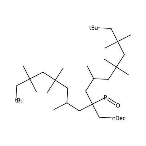 CCCCCCCCCCCC(CC(C)CC(C)(C)CC(C)(C)CC(C)(C)C)(CC(C)CC(C)(C)CC(C)(C)CC(C)(C)C)P=O